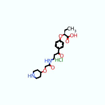 CC[C@H](Oc1ccc(C(=O)CCNC(=O)COC2CCNCC2)cc1)C(=O)O.Cl